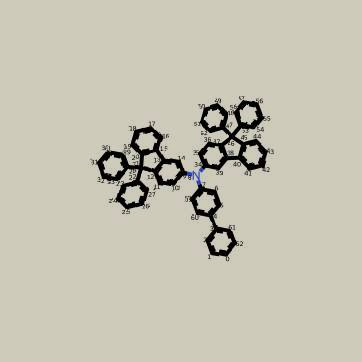 c1ccc(-c2ccc(N(c3ccc4c(c3)-c3ccccc3C4(c3ccccc3)c3ccccc3)c3ccc4c(c3)-c3ccccc3C4(c3ccccc3)c3ccccc3)cc2)cc1